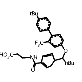 CCCCC(Oc1ccc(-c2ccc(C(C)(C)C)cc2)c(C(F)(F)F)c1)C1C=CC(C(=O)NCCC(=O)O)=CC1